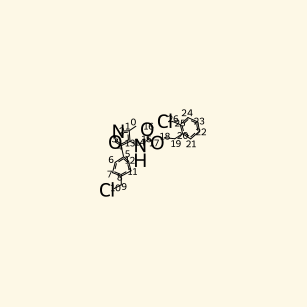 Cc1noc(-c2ccc(CCl)cc2)c1NC(=O)OCCc1ccccc1Cl